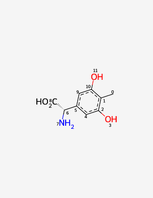 Cc1c(O)cc([C@H](N)C(=O)O)cc1O